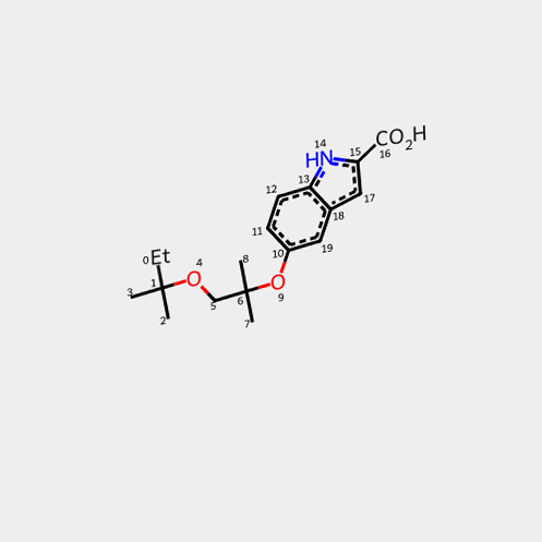 CCC(C)(C)OCC(C)(C)Oc1ccc2[nH]c(C(=O)O)cc2c1